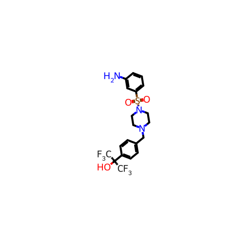 Nc1cccc(S(=O)(=O)N2CCN(Cc3ccc(C(O)(C(F)(F)F)C(F)(F)F)cc3)CC2)c1